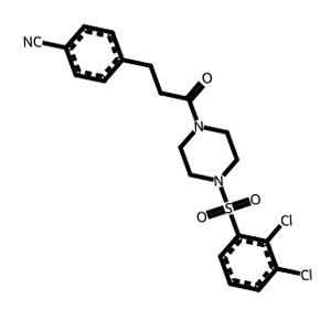 N#Cc1ccc(CCC(=O)N2CCN(S(=O)(=O)c3cccc(Cl)c3Cl)CC2)cc1